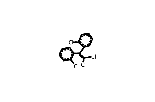 ClC(Cl)=C(c1ccccc1Cl)c1ccccc1Cl